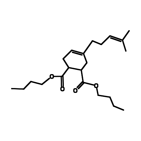 CCCCOC(=O)C1CC=C(CCC=C(C)C)CC1C(=O)OCCCC